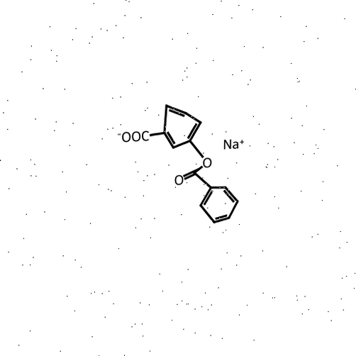 O=C([O-])c1cccc(OC(=O)c2ccccc2)c1.[Na+]